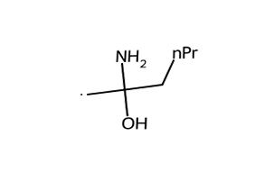 [CH2]C(N)(O)CCCC